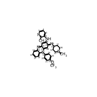 Cc1ncccc1Nc1cc2nc3ccccc3n(-c3ccc(OC(F)(F)F)cc3)c-2c/c1=N\C1CCN(C)CC1